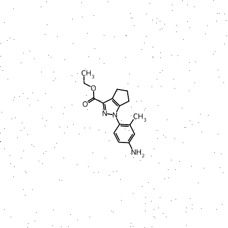 CCOC(=O)c1nn(-c2ccc(N)cc2C)c2c1CCC2